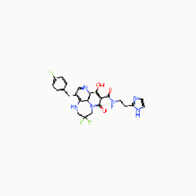 O=C(NCCc1ncc[nH]1)c1c(O)c2ncc(Cc3ccc(F)cc3)c3c2n(c1=O)CC(F)(F)CN3